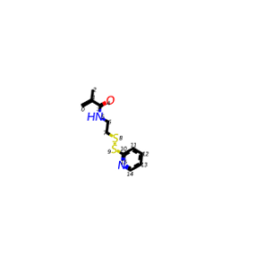 C=C(C)C(=O)NCCSSc1ccccn1